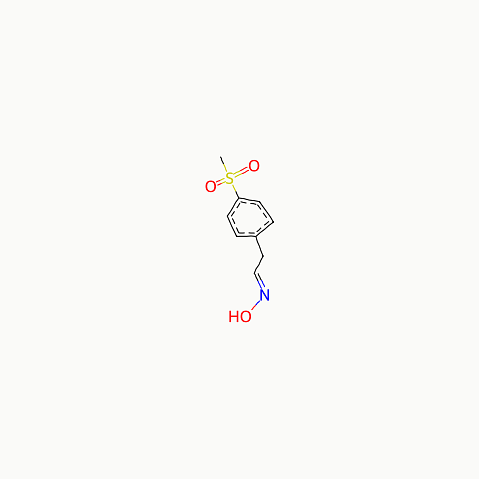 CS(=O)(=O)c1ccc(CC=NO)cc1